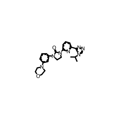 CC(C)n1cnnc1-c1cccc(N2CCN(c3cccc(N4CCOCC4)c3)C2=O)n1